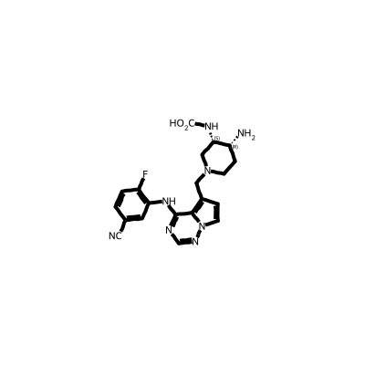 N#Cc1ccc(F)c(Nc2ncnn3ccc(CN4CC[C@@H](N)[C@@H](NC(=O)O)C4)c23)c1